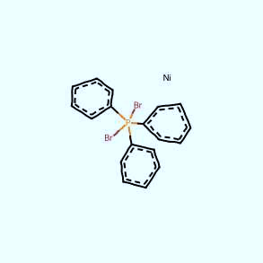 BrP(Br)(c1ccccc1)(c1ccccc1)c1ccccc1.[Ni]